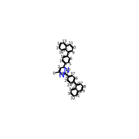 Cc1cc(-c2ccc(-c3cccc4ccccc34)cc2)nc(-c2ccc(-c3cccc4ccccc34)cc2)n1